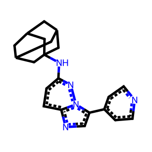 c1cc(-c2cnc3ccc(NC45CC6CC(CC(C6)C4)C5)nn23)ccn1